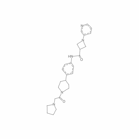 O=C(Nc1ccc(C2CCN(C(=O)CN3CCCC3)CC2)cc1)C1CN(c2cccnc2)C1